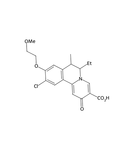 CCC1C(C)c2cc(OCCOC)c(Cl)cc2-c2cc(=O)c(C(=O)O)cn21